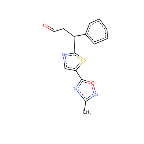 Cc1noc(-c2cnc(C(CC=O)c3ccccc3)s2)n1